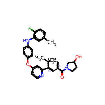 C/C=C(\C=C(\c1cc(Oc2ccc(Nc3cc(C)ccc3F)cc2)ccn1)C(C)C)C(=O)N1CCC(O)C1